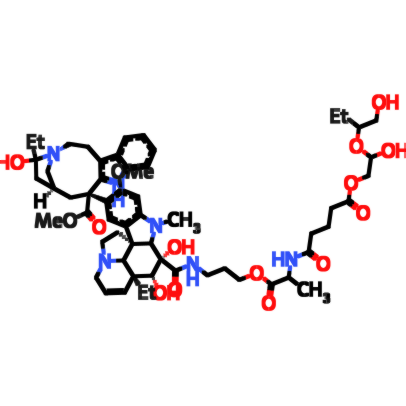 CCC(CO)OC(O)COC(=O)CCCC(=O)NC(C)C(=O)OCCCNC(=O)[C@]1(O)C2N(C)c3cc(OC)c([C@@]4(C(=O)OC)C[C@@H]5C[N@](CCc6c4[nH]c4ccccc64)C(O)(CC)C5)cc3[C@@]23CCN2CC=C[C@](CC)(C23)[C@H]1O